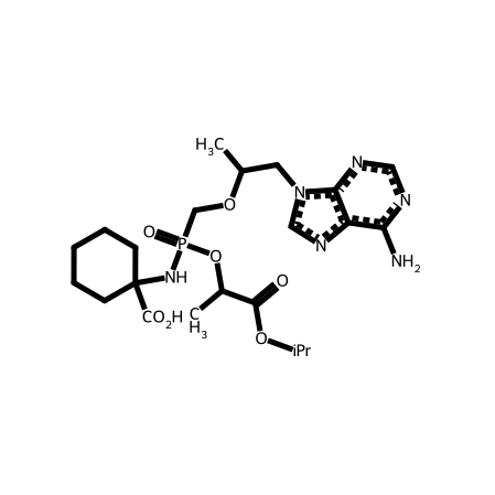 CC(C)OC(=O)C(C)OP(=O)(COC(C)Cn1cnc2c(N)ncnc21)NC1(C(=O)O)CCCCC1